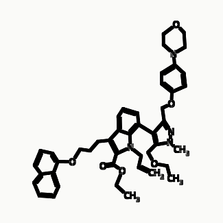 C=CCn1c(C(=O)OCC)c(CCCOc2cccc3ccccc23)c2cccc(-c3c(COc4ccc(N5CCOCC5)cc4)nn(C)c3COCC)c21